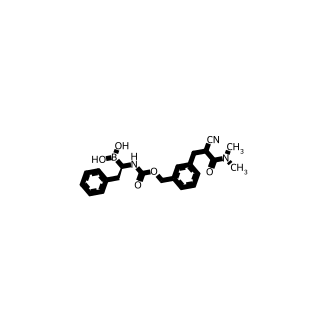 CN(C)C(=O)C(C#N)Cc1cccc(COC(=O)N[C@@H](Cc2ccccc2)B(O)O)c1